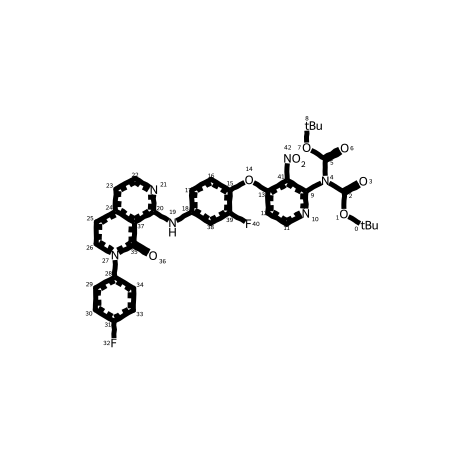 CC(C)(C)OC(=O)N(C(=O)OC(C)(C)C)c1nccc(Oc2ccc(Nc3nccc4ccn(-c5ccc(F)cc5)c(=O)c34)cc2F)c1[N+](=O)[O-]